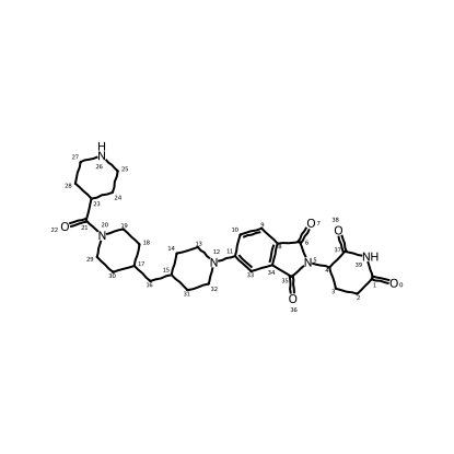 O=C1CCC(N2C(=O)c3ccc(N4CCC(CC5CCN(C(=O)C6CCNCC6)CC5)CC4)cc3C2=O)C(=O)N1